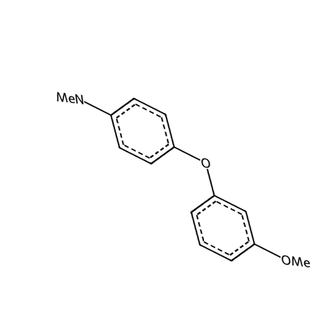 CNc1ccc(Oc2cccc(OC)c2)cc1